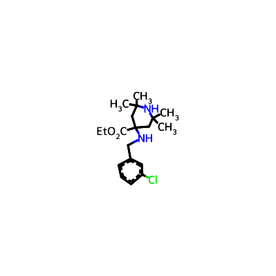 CCOC(=O)C1(NCc2cccc(Cl)c2)CC(C)(C)NC(C)(C)C1